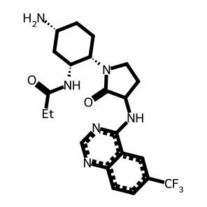 CCC(=O)N[C@@H]1C[C@H](N)CC[C@@H]1N1CCC(Nc2ncnc3ccc(C(F)(F)F)cc23)C1=O